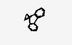 c1ccc2c(c1)-c1ccccc1C21CC1